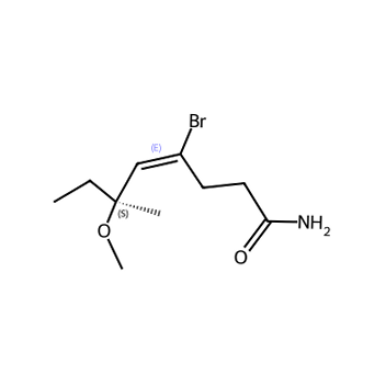 CC[C@@](C)(/C=C(/Br)CCC(N)=O)OC